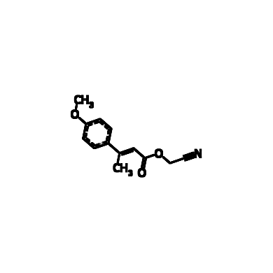 COc1ccc(C(C)=CC(=O)OCC#N)cc1